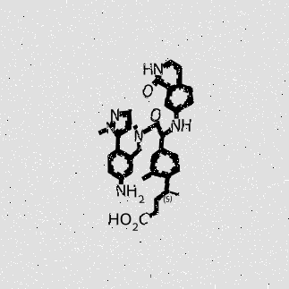 Cc1cc(C(Nc2ccc3cc[nH]c(=O)c3c2)C(=O)N(C)Cc2cc(N)ccc2-c2ccnn2C)ccc1[C@@H](C)CCC(=O)O